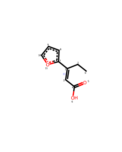 CC/C(=C\C(=O)O)c1ccco1